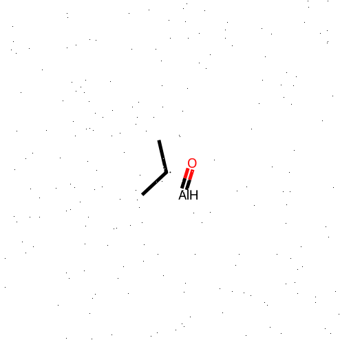 C[CH]C.[O]=[AlH]